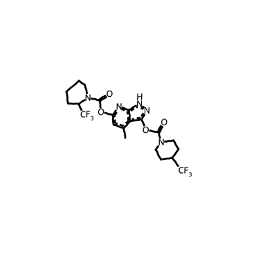 Cc1cc(OC(=O)N2CCCCC2C(F)(F)F)nc2[nH]nc(OC(=O)N3CCC(C(F)(F)F)CC3)c12